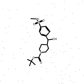 CNS(=O)(=O)c1ccc(C(O)C2CCN(C(=O)OC(C)(C)C)CC2)cc1